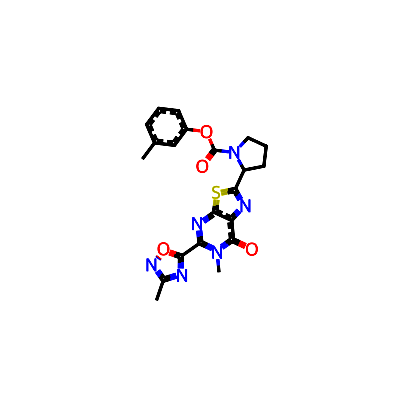 Cc1cccc(OC(=O)N2CCCC2c2nc3c(=O)n(C)c(-c4nc(C)no4)nc3s2)c1